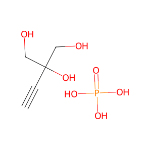 C#CC(O)(CO)CO.O=P(O)(O)O